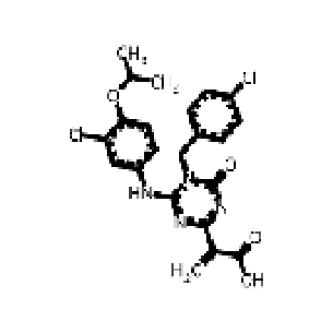 C=C(C(=O)O)c1nc(Nc2ccc(OC(C)C)c(Cl)c2)n(Cc2ccc(Cl)cc2)c(=O)n1